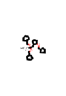 O=C(O)C(CC1CCCC1OCc1ccccc1)(OCc1ccccc1)OCc1ccccc1